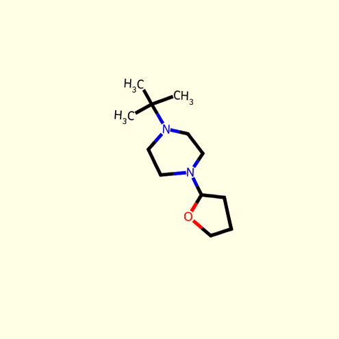 CC(C)(C)N1CCN(C2CCCO2)CC1